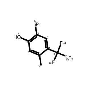 Cc1cc(O)c(C(C)C)cc1C(F)(F)C(F)(F)F